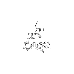 CC(C)(C)OC(=O)Nc1ccccc1CC(=O)NC1C(=O)NC1CI